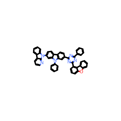 c1ccc(-c2nc(-c3ccc4c5ccc(-n6c7ccccc7c7cccnc76)cc5n(-c5ccccc5)c4c3)nc(-c3cccc4oc5ccccc5c34)n2)cc1